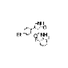 CCc1ccc([C@H]2CNC(=O)[C@@H]2C(=O)Nc2c(F)cccc2F)cc1